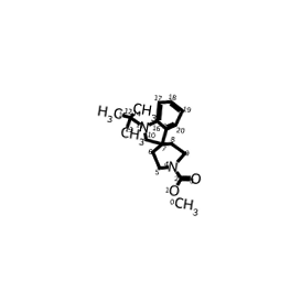 COC(=O)N1CCC2(CC1)CN(C(C)(C)C)c1ccccc12